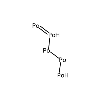 [Po]=[PoH][Po][Po][PoH]